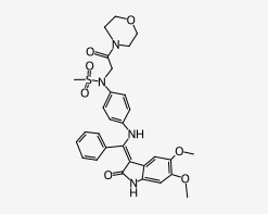 COc1cc2c(cc1OC)C(=C(Nc1ccc(N(CC(=O)N3CCOCC3)S(C)(=O)=O)cc1)c1ccccc1)C(=O)N2